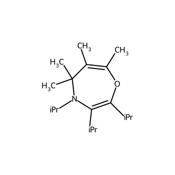 CC1=C(C)C(C)(C)N(C(C)C)C(C(C)C)=C(C(C)C)O1